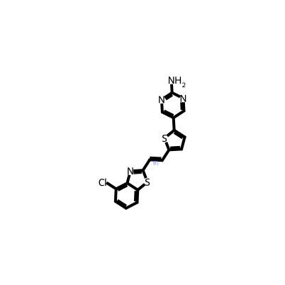 Nc1ncc(-c2ccc(/C=C/c3nc4c(Cl)cccc4s3)s2)cn1